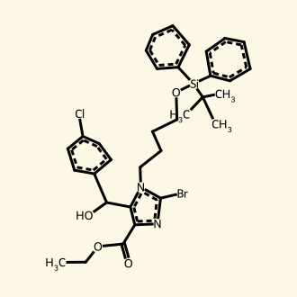 CCOC(=O)c1nc(Br)n(CCCCO[Si](c2ccccc2)(c2ccccc2)C(C)(C)C)c1C(O)c1ccc(Cl)cc1